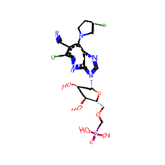 N#Cc1c(Cl)nc2c(ncn2[C@@H]2O[C@H](COCP(=O)(O)O)[C@@H](O)[C@H]2O)c1N1CC[C@@H](F)C1